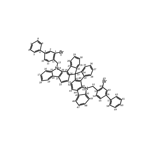 Brc1cc(-c2ccccc2)ccc1Cn1c2ccccc2c2ccc3c(c21)-c1ccccc1C31c2ccccc2-c2c1ccc1c3ccccc3n(Cc3ccc(-c4ccccc4)cc3Br)c21